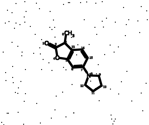 CC1C(=O)Oc2cc(N3CCCC3)ccc21